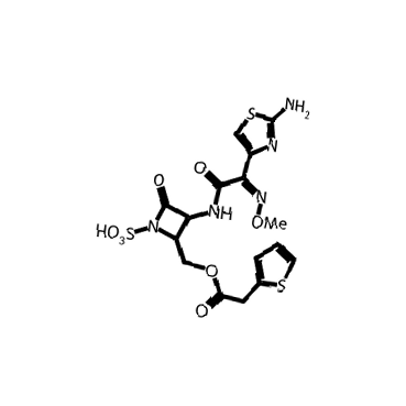 CON=C(C(=O)NC1C(=O)N(S(=O)(=O)O)C1COC(=O)Cc1cccs1)c1csc(N)n1